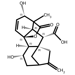 C=C1C[C@]23CC1C[C@H](O)[C@H]2[C@@]12C=C[C@H](O)C(C)(C(=O)O1)[C@H]2[C@@H]3C(=O)O